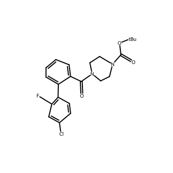 CC(C)(C)OC(=O)N1CCN(C(=O)c2ccccc2-c2ccc(Cl)cc2F)CC1